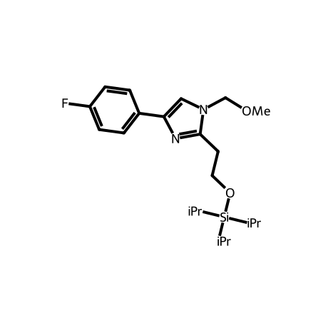 COCn1cc(-c2ccc(F)cc2)nc1CCO[Si](C(C)C)(C(C)C)C(C)C